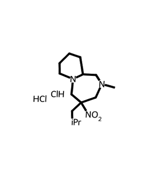 CC(C)CC1([N+](=O)[O-])CN(C)CC2CCCCN2C1.Cl.Cl